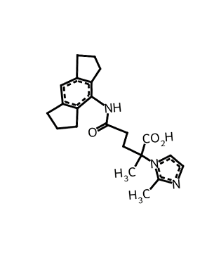 Cc1nccn1C(C)(CCC(=O)Nc1c2c(cc3c1CCC3)CCC2)C(=O)O